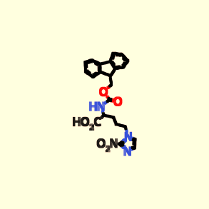 O=C(NC(CCCn1ccnc1[N+](=O)[O-])C(=O)O)OCC1c2ccccc2-c2ccccc21